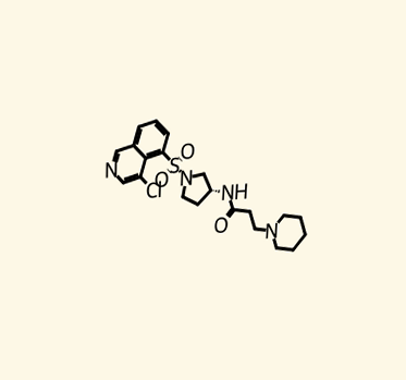 O=C(CCN1CCCCC1)N[C@@H]1CCN(S(=O)(=O)c2cccc3cncc(Cl)c23)C1